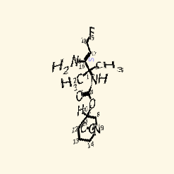 CC(C)(NC(=O)O[C@@H]1CN2CCC1CC2)/C(N)=C/CF